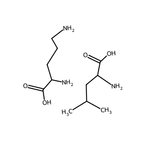 CC(C)CC(N)C(=O)O.NCCCC(N)C(=O)O